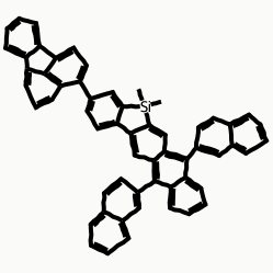 C[Si]1(C)c2cc(-c3ccc4c5c(cccc35)-c3ccccc3-4)ccc2-c2cc3c(-c4ccc5ccccc5c4)c4ccccc4c(-c4ccc5ccccc5c4)c3cc21